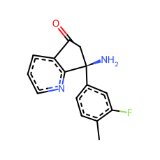 Cc1ccc([C@@]2(N)CC(=O)c3cccnc32)cc1F